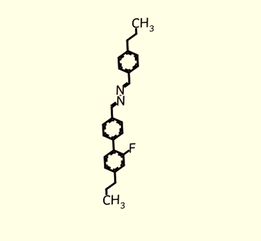 CCCc1ccc(C=NN=Cc2ccc(-c3ccc(CCC)cc3F)cc2)cc1